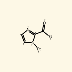 CCC(=O)c1nccn1CC